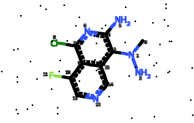 CN(N)c1c(N)nc(Cl)c2c(F)cncc12